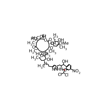 CC[C@H]1OC(=O)[C@H](C)[C@@H](O[C@H]2C[C@@](C)(OC)[C@@H](O)[C@H](C)O2)[C@H](C)[C@@H](O[C@@H]2O[C@H](C)C[C@H](N(C)CCc3cn(CC(NC(=O)C(Cl)Cl)C(O)c4ccc([N+](=O)[O-])cc4)nn3)[C@H]2O)[C@](C)(O)C[C@@H](C)C(=O)[C@H](C)[C@@H](O)[C@]1(C)O